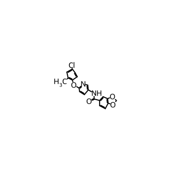 Cc1cc(Cl)ccc1Oc1ccc(NC(=O)c2ccc3c(c2)OCO3)cn1